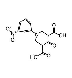 O=C(O)C1CN(c2cccc([N+](=O)[O-])c2)CC(C(=O)O)C1=O